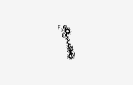 O=C(CCCCCCc1ncc(-c2ccccn2)o1)c1cccc(C(F)(F)F)c1